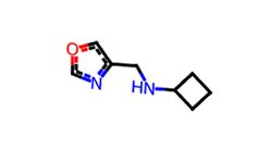 c1nc(CNC2CCC2)co1